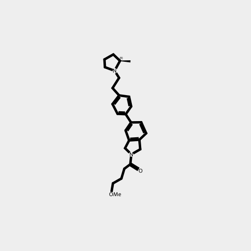 COCCCC(=O)N1Cc2ccc(-c3ccc(CCN4CCC[C@H]4C)cc3)cc2C1